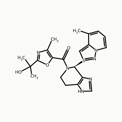 CC1=CC=CN2N=S([C@H]3c4nc[nH]c4CCN3C(=O)c3oc(C(C)(C)O)nc3C)C=C12